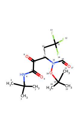 CC(C)(C)NC(=O)C(=O)[C@H](CC(F)(F)F)N(C=O)OC(C)(C)C